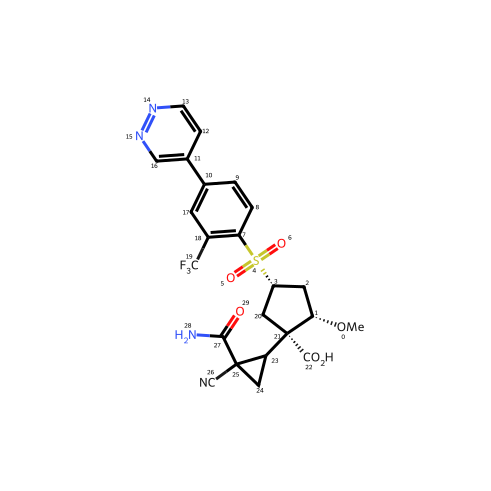 CO[C@H]1C[C@@H](S(=O)(=O)c2ccc(-c3ccnnc3)cc2C(F)(F)F)C[C@]1(C(=O)O)C1CC1(C#N)C(N)=O